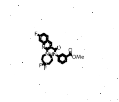 COC(=O)c1cccc(NC(=O)c2cc3ccc(F)cc3nc2N2CCCC(F)(F)CC2)c1